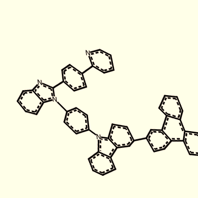 c1ccc(-c2ccc(-c3nc4ccccc4n3-c3ccc(-n4c5ccccc5c5cc(-c6ccc7c8ccccc8c8ccccc8c7c6)ccc54)cc3)cc2)nc1